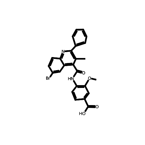 COc1cc(C(=O)O)ccc1NC(=O)c1c(C)c(-c2ccccc2)nc2ccc(Br)cc12